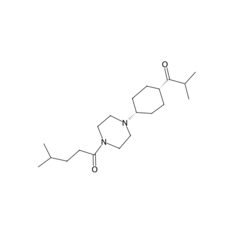 CC(C)CCC(=O)N1CCN([C@H]2CC[C@@H](C(=O)C(C)C)CC2)CC1